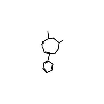 CC1/C=N\C=C(\c2ccccc2)CCC(C)C1